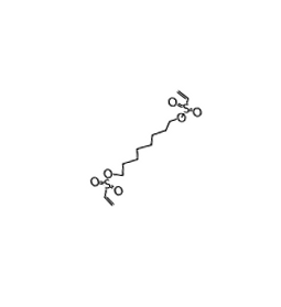 C=CS(=O)(=O)OCCCCCCCCOS(=O)(=O)C=C